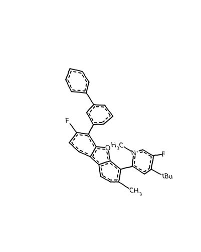 Cc1ccc2c(oc3c(-c4cccc(-c5ccccc5)c4)c(F)ccc32)c1-c1cc(C(C)(C)C)c(F)c[n+]1C